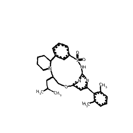 Cc1cccc(C)c1-c1cc2nc(n1)NS(=O)(=O)c1cccc(c1)C1CCCCN1C(CC(C)C)CO2